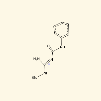 CC(C)(C)N/C(N)=N/C(=O)Nc1ccccc1